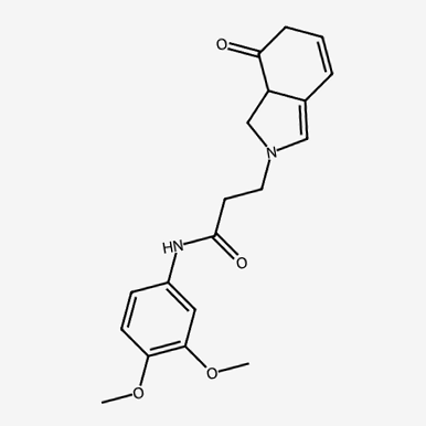 COc1ccc(NC(=O)CCN2C=C3C=CCC(=O)C3C2)cc1OC